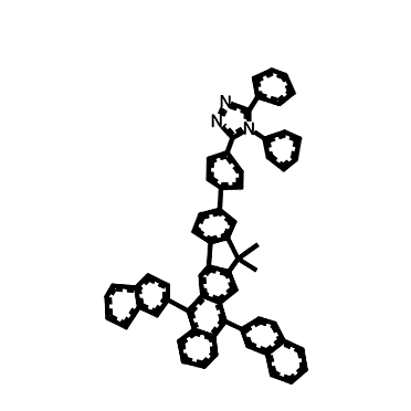 CC1(C)c2cc(-c3ccc(-c4nnc(-c5ccccc5)n4-c4ccccc4)cc3)ccc2-c2cc3c(-c4ccc5ccccc5c4)c4ccccc4c(-c4ccc5ccccc5c4)c3cc21